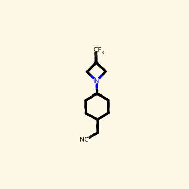 N#CCC1CCC(N2CC(C(F)(F)F)C2)CC1